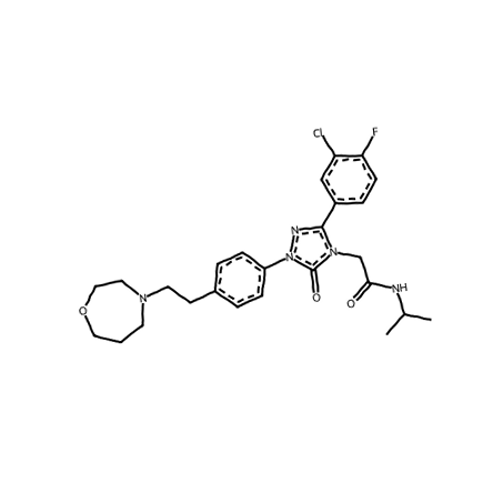 CC(C)NC(=O)Cn1c(-c2ccc(F)c(Cl)c2)nn(-c2ccc(CCN3CCCOCC3)cc2)c1=O